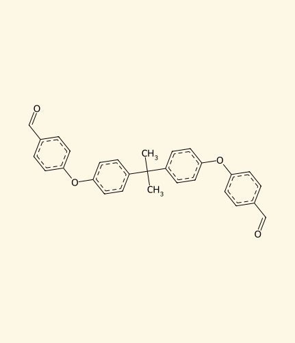 CC(C)(c1ccc(Oc2ccc(C=O)cc2)cc1)c1ccc(Oc2ccc(C=O)cc2)cc1